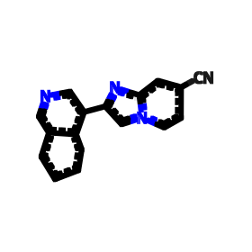 N#Cc1ccn2cc(-c3cncc4ccccc34)nc2c1